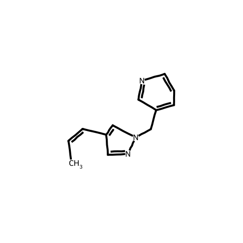 C/C=C\c1cnn(Cc2cccnc2)c1